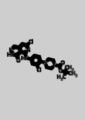 CC(C)(C)OC(=O)N1CCN(c2ccc(Nc3nc(Cl)cc4cn[nH]c(=O)c34)cc2Cl)CC1